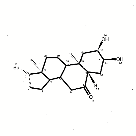 CC[C@@H](C)[C@H]1CCC2C3CC(=O)[C@H]4C[C@H](O)[C@H](O)C[C@]4(C)C3CC[C@@]21C